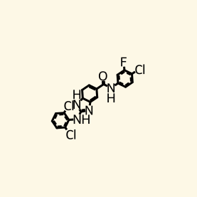 O=C(Nc1ccc(Cl)c(F)c1)C1=CCC2NC(Nc3c(Cl)cccc3Cl)=NC2=C1